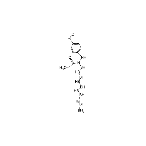 BBBBBBBBBBN(Nc1ccc([C]=O)cc1)C(=O)CC